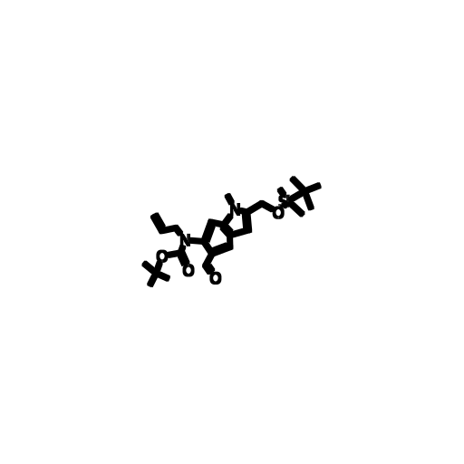 C=CCN(C(=O)OC(C)(C)C)c1cc2c(cc1C=O)cc(CO[Si](C)(C)C(C)(C)C)n2C